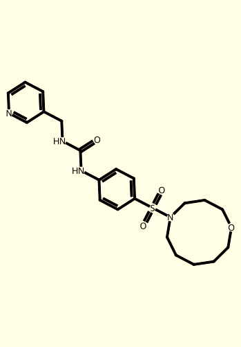 O=C(NCc1cccnc1)Nc1ccc(S(=O)(=O)N2CCCCCOCCC2)cc1